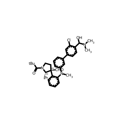 CC(C)[C@@H]1N(C(=O)C(C)(C)C)CC[C@]1(C=O)c1ccccc1N(C)c1cccc(-c2ccc(C(O)N(C)C)c(Cl)c2)c1